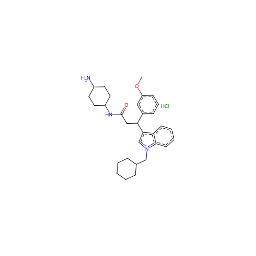 COc1cccc(C(CC(=O)NC2CCC(N)CC2)c2cn(CC3CCCCC3)c3ccccc23)c1.Cl